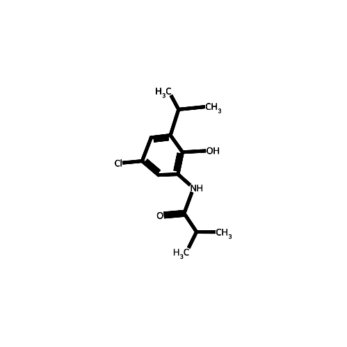 CC(C)C(=O)Nc1cc(Cl)cc(C(C)C)c1O